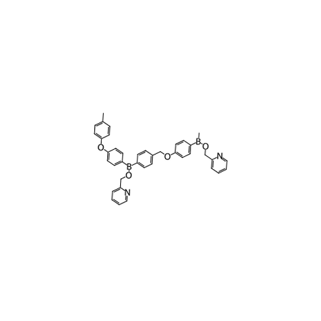 CB(OCc1ccccn1)c1ccc(OCc2ccc(B(OCc3ccccn3)c3ccc(Oc4ccc(C)cc4)cc3)cc2)cc1